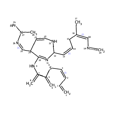 C=C/C=C\SC(=C)C(=C)NC1=NC(/C=C\C/C(C)=C\N=C)NC=CC1/C=N\N(C)CCC